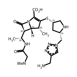 CNCC(=O)N[C@H](C)[C@H]1C(=O)N2C(C(=O)O)=C(S[C@@H]3CN[C@H](Cn4cc(CN)nn4)C3)[C@H](C)[C@H]12